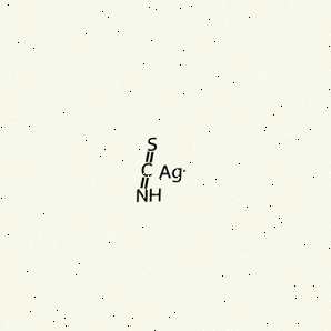 N=C=S.[Ag]